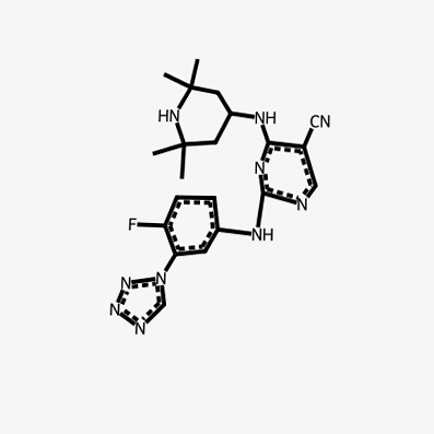 CC1(C)CC(Nc2nc(Nc3ccc(F)c(-n4cnnn4)c3)ncc2C#N)CC(C)(C)N1